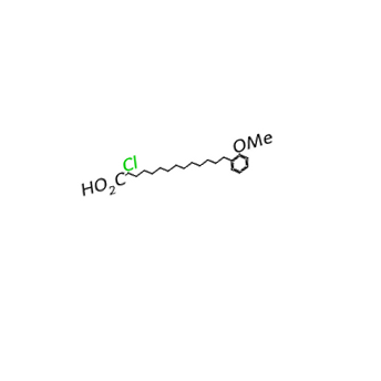 COc1ccccc1CCCCCCCCCCCCC(Cl)C(=O)O